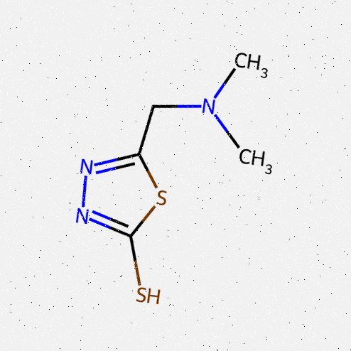 CN(C)Cc1nnc(S)s1